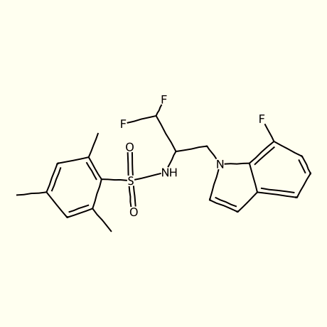 Cc1cc(C)c(S(=O)(=O)NC(Cn2ccc3cccc(F)c32)C(F)F)c(C)c1